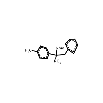 CNC(Cc1ccccc1)(c1ccc(C)cc1)[N+](=O)[O-]